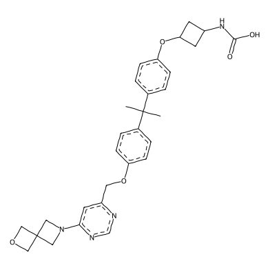 CC(C)(c1ccc(OCc2cc(N3CC4(COC4)C3)ncn2)cc1)c1ccc(OC2CC(NC(=O)O)C2)cc1